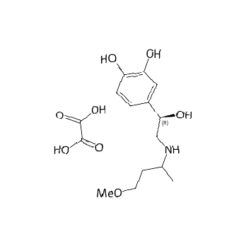 COCCC(C)NC[C@H](O)c1ccc(O)c(O)c1.O=C(O)C(=O)O